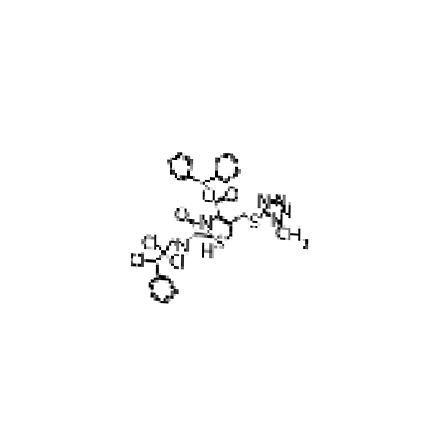 Cn1nnnc1SCC1=C(C(=O)OC(c2ccccc2)c2ccccc2)N2C(=O)[C@@H](N=CC(Cl)(Cl)C(Cl)c3ccccc3)[C@@H]2SC1